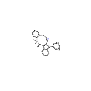 C=C1c2c(n(-c3cncnc3)c3ccccc23)/C=C\Cc2ccccc2C1(C)C